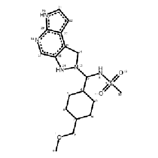 COCC1CCC(C(NS(C)(=O)=O)N2Cc3c(cnc4[nH]ccc34)N2)CC1